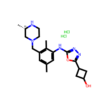 Cc1cc(CN2CCN[C@@H](C)C2)c(C)c(Nc2nnc(C3CC(O)C3)o2)c1.Cl.Cl